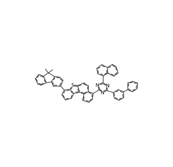 CC1(C)c2ccccc2-c2cc(-c3cccc4c3sc3ccc5c(-c6nc(-c7cccc(-c8ccccc8)c7)nc(-c7cccc8ccccc78)n6)cccc5c34)ccc21